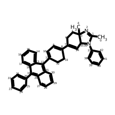 CC1=NC2(C)CCC(C3=CC=C(c4c5ccccc5c(-c5ccccc5)c5ccccc45)CC3)=CC2N1c1ccccc1